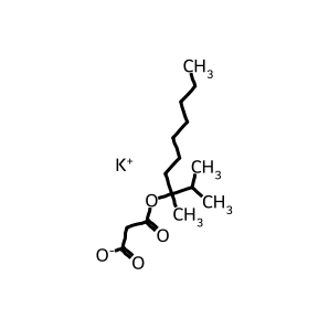 CCCCCCCC(C)(OC(=O)CC(=O)[O-])C(C)C.[K+]